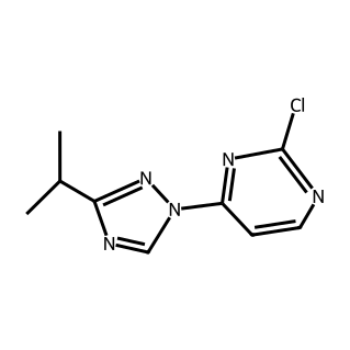 CC(C)c1ncn(-c2ccnc(Cl)n2)n1